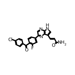 NC(=O)C=Cc1c[nH]c2ncc(-c3ccc(C(=O)c4ccc(Cl)cc4)c(F)c3)nc12